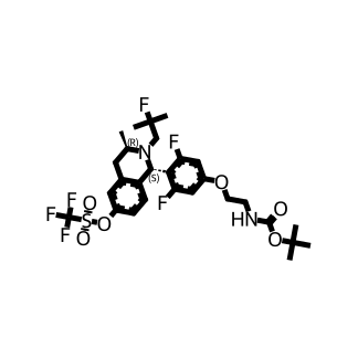 C[C@@H]1Cc2cc(OS(=O)(=O)C(F)(F)F)ccc2[C@@H](c2c(F)cc(OCCNC(=O)OC(C)(C)C)cc2F)N1CC(C)(C)F